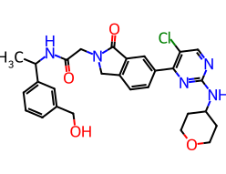 CC(NC(=O)CN1Cc2ccc(-c3nc(NC4CCOCC4)ncc3Cl)cc2C1=O)c1cccc(CO)c1